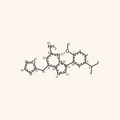 COc1ccc(C(C)C)cc1-c1cnc2c(Cc3ccco3)cc(N)nn12